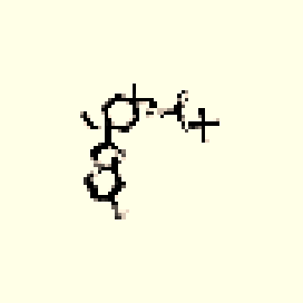 CC[C@]1(c2cn3ccc(Br)cc3n2)CC[C@@](C)(CNC(=O)OC(C)(C)C)CC1